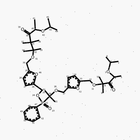 CC(C)OC(C)C(=O)C(C)(C)OCc1ccc(COC(C)(C)P(=O)(OCc2ccc(COC(C)(C)C(C)(C)C(=O)C(C)OC(C)C)o2)c2ccccc2)o1